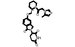 Cc1cncn1CC(=O)N1CCCC[C@@H]1COc1ccc2c(c1)CN(C1CCC(=O)NC1=O)C2=O